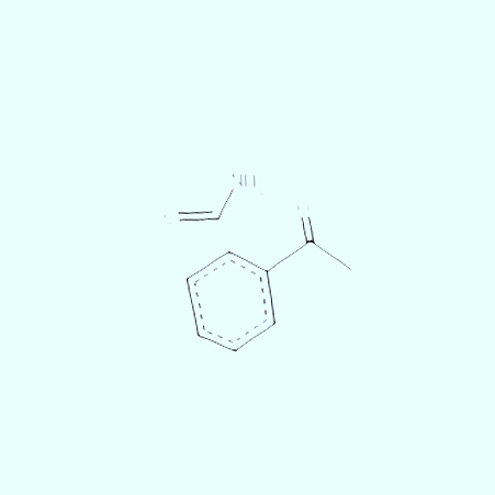 CC(=O)c1ccccc1.NC=O